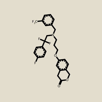 O=C1Cc2cc(OCCCN(Cc3cccc(C(F)(F)F)c3)CC(F)(F)c3ccc(F)cc3)ccc2CO1